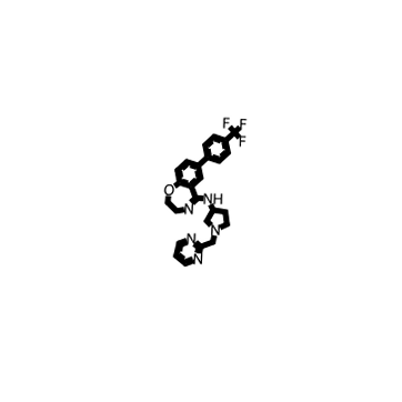 FC(F)(F)c1ccc(-c2ccc3c(c2)C(NC2CCN(Cc4ncccn4)C2)=NCCO3)cc1